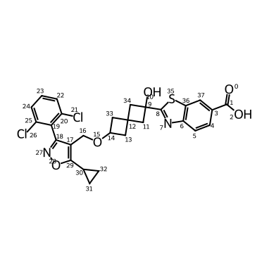 O=C(O)c1ccc2nc(C3(O)CC4(CC(OCc5c(-c6c(Cl)cccc6Cl)noc5C5CC5)C4)C3)sc2c1